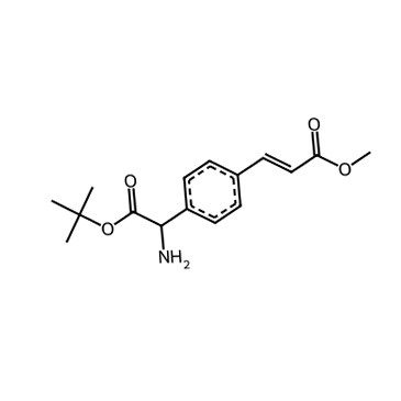 COC(=O)/C=C/c1ccc(C(N)C(=O)OC(C)(C)C)cc1